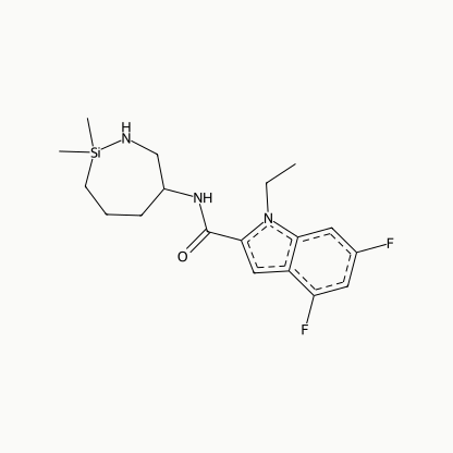 CCn1c(C(=O)NC2CCC[Si](C)(C)NC2)cc2c(F)cc(F)cc21